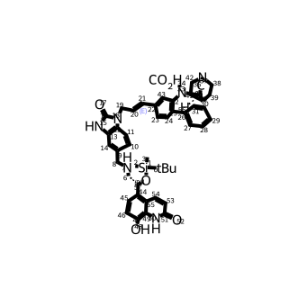 CC(C)(C)[Si](C)(C)O[C@@H](CNCc1ccc2c(c1)[nH]c(=O)n2C/C=C/c1ccc(-c2ccccc2)c(N(C(=O)O)[C@H]2CN3CCC2CC3)c1)c1ccc(O)c2[nH]c(=O)ccc12